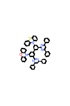 c1ccc(-c2cc(-c3ccccc3)nc(-c3cc(-c4cc(-c5nc(-c6ccccc6)cc(-c6ccccc6)n5)cc(N5c6ccccc6Sc6ccccc65)c4)cc(N4c5ccccc5Oc5ccccc54)c3)n2)cc1